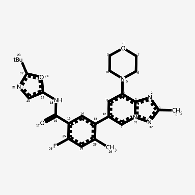 Cc1nc2c(N3CCOCC3)cc(-c3cc(C(=O)Nc4cnc(C(C)(C)C)o4)c(F)cc3C)cn2n1